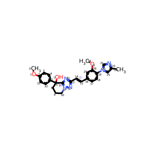 COc1ccc(C2(O)CCCn3nc(/C=C/c4ccc(-n5cnc(C)c5)c(OC)c4)nc32)cc1